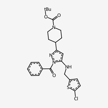 CC(C)(C)OC(=O)N1CCC(c2cc(NCc3ccc(Cl)s3)n(C(=O)c3ccccc3)n2)CC1